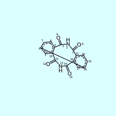 O=C1NC(=O)c2ccc3cc2C(=O)NC(=O)c2cc-3ccc21